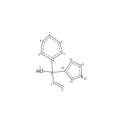 C=CC(O)(c1ccccc1)c1ccsc1